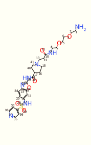 NCCOCCOCCNC(=O)CCN1CCC(C(=O)Nc2nc3ccc(NS(=O)(=O)c4ccncc4)cc3o2)CC1